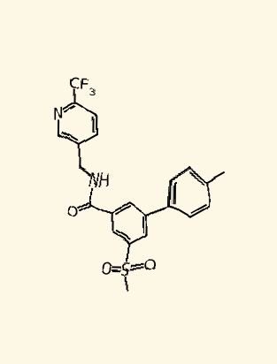 Cc1ccc(-c2cc(C(=O)NCc3ccc(C(F)(F)F)nc3)cc(S(C)(=O)=O)c2)cc1